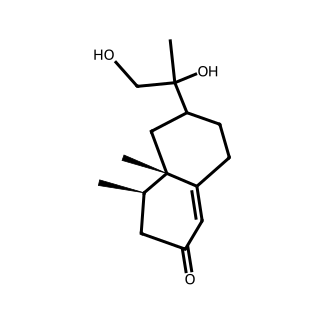 C[C@@H]1CC(=O)C=C2CCC(C(C)(O)CO)C[C@]21C